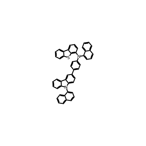 c1ccc2c(N(c3ccc(-c4ccc5c(c4)c4ccccc4n5-c4cccc5ccccc45)cc3)c3cccc4c3sc3ccccc34)cccc2c1